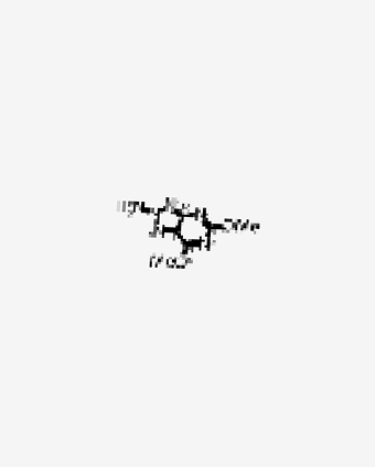 COc1nc(OC)c2nn(N)nc2n1